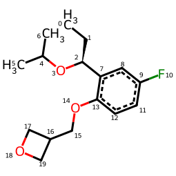 CC[C@H](OC(C)C)c1cc(F)ccc1OCC1COC1